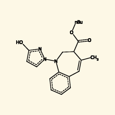 CCCCOC(=O)C1CN(n2ccc(O)n2)c2ccccc2C=C1C